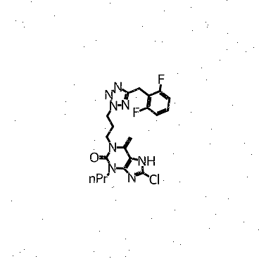 C=C1c2[nH]c(Cl)nc2N(CCC)C(=O)N1CCCn1nnc(Cc2c(F)cccc2F)n1